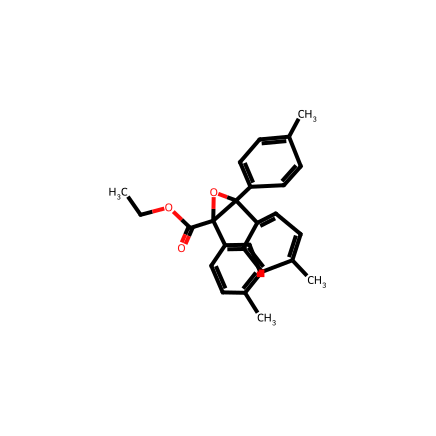 CCOC(=O)C1(c2ccc(C)cc2)OC1(c1ccc(C)cc1)c1ccc(C)cc1